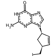 Nc1nc2c(ncn2[C@H]2C=C[C@@H](CI)C2)c(=O)[nH]1